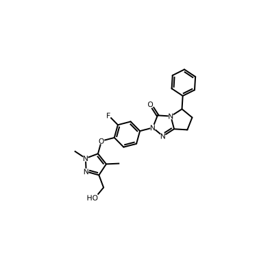 Cc1c(CO)nn(C)c1Oc1ccc(-n2nc3n(c2=O)C(c2ccccc2)CC3)cc1F